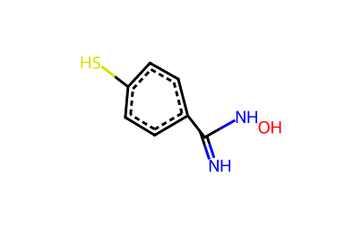 N=C(NO)c1ccc(S)cc1